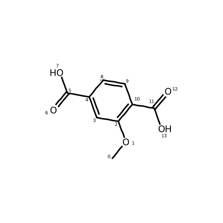 COc1cc(C(=O)O)[c]cc1C(=O)O